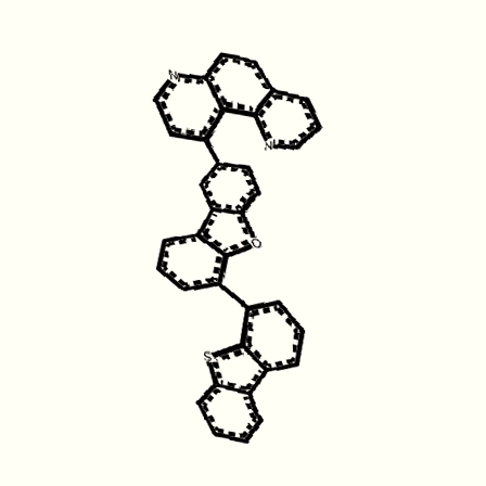 c1cnc2c(c1)ccc1nccc(-c3ccc4oc5c(-c6cccc7c6sc6ccccc67)cccc5c4c3)c12